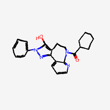 O=C(C1CCCCC1)N1CCc2c(nn(-c3ccccc3)c2O)-c2cccnc21